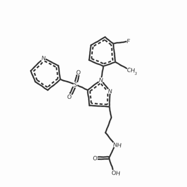 Cc1c(F)cccc1-n1nc(CCNC(=O)O)cc1S(=O)(=O)c1cccnc1